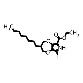 CCCCCCCCC1COc2c(I)[nH]c(C(=O)OCC)c2OC1